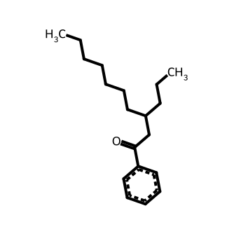 CCCCCCCC(CCC)CC(=O)c1ccccc1